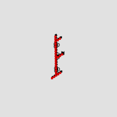 CCCCCC(CCCCC)CCOC(=O)OCCCCCCCCC(CCCCCCCCOC(=O)OCCC(CCCCC)CCCCC)OC(=O)CCCN(C)C